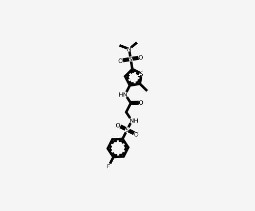 Cc1sc(S(=O)(=O)N(C)C)cc1NC(=O)CNS(=O)(=O)c1ccc(F)cc1